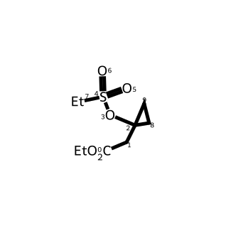 CCOC(=O)CC1(OS(=O)(=O)CC)CC1